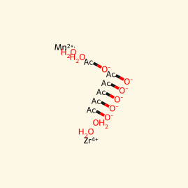 CC(=O)[O-].CC(=O)[O-].CC(=O)[O-].CC(=O)[O-].CC(=O)[O-].CC(=O)[O-].O.O.O.O.[Mn+2].[Zr+4]